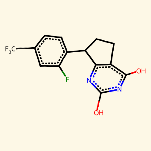 Oc1nc(O)c2c(n1)C(c1ccc(C(F)(F)F)cc1F)CC2